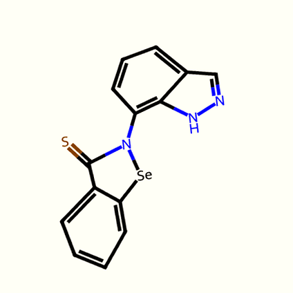 S=c1c2ccccc2[se]n1-c1cccc2cn[nH]c12